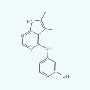 Cc1[nH]c2ncnc(Nc3cccc(O)c3)c2c1C